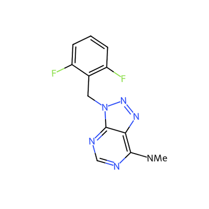 CNc1ncnc2c1nnn2Cc1c(F)cccc1F